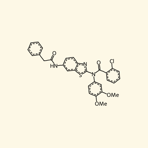 COc1ccc(N(C(=O)c2ccccc2Cl)c2nc3ccc(NC(=O)Cc4ccccc4)cc3s2)cc1OC